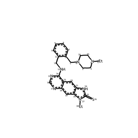 CCN1CCN(Cc2ccccc2CNc2ncnc3cc4c(cc23)[nH]c(=S)n4CC)CC1